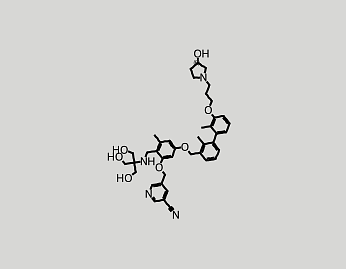 Cc1cc(OCc2cccc(-c3cccc(OCCCN4CC[C@@H](O)C4)c3C)c2C)cc(OCc2cncc(C#N)c2)c1CNC(CO)(CO)CO